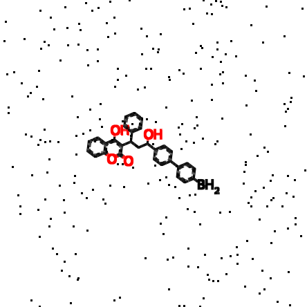 Bc1ccc(-c2ccc(C(O)CC(c3ccccc3)c3c(O)c4ccccc4oc3=O)cc2)cc1